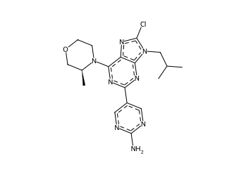 CC(C)Cn1c(Cl)nc2c(N3CCOC[C@@H]3C)nc(-c3cnc(N)nc3)nc21